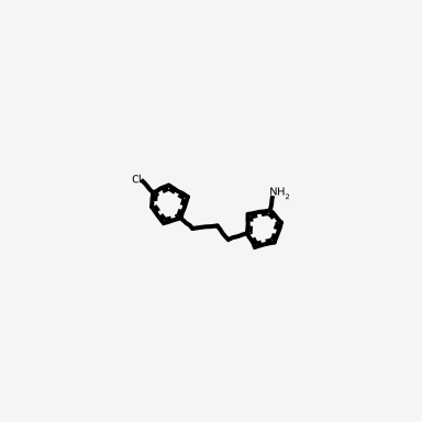 Nc1cccc(CCCc2ccc(Cl)cc2)c1